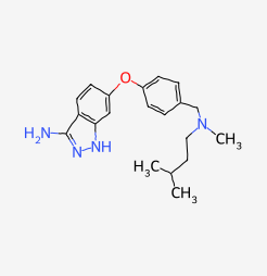 CC(C)CCN(C)Cc1ccc(Oc2ccc3c(N)n[nH]c3c2)cc1